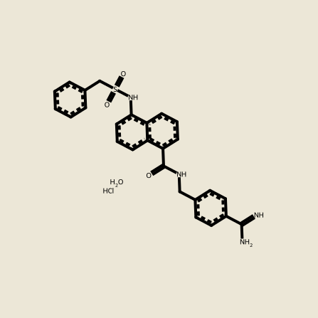 Cl.N=C(N)c1ccc(CNC(=O)c2cccc3c(NS(=O)(=O)Cc4ccccc4)cccc23)cc1.O